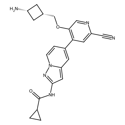 N#Cc1cc(-c2ccn3nc(NC(=O)C4CC4)cc3c2)c(OC[C@H]2C[C@@H](N)C2)cn1